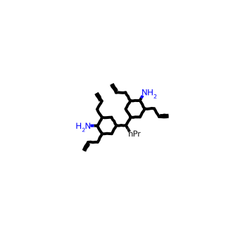 C=CCC1CC(C(CCC)C2CC(CC=C)C(N)C(CC=C)C2)CC(CC=C)C1N